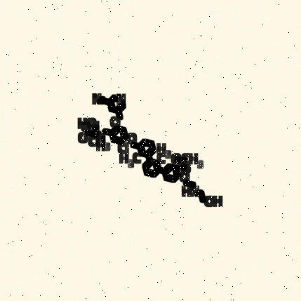 Cc1c(COc2cc(OCc3cncc(C#N)c3)c(CNC(C)(CO)C(=O)O)cc2Cl)cccc1-c1cccc(-c2ccc(OCCNCCO)c(S(C)(=O)=O)c2)c1C